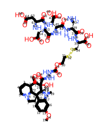 CC[C@]12C=CCN3CC[C@@]4(c5ccc(OC)cc5N(C)[C@H]4[C@@](O)(C(=O)NNC(=O)OCCSSC[C@H](NC(=O)[C@@H](CN)NC(=O)[C@@H](CC(=O)O)NC(=O)[C@H](CC(=O)O)NC(=O)[C@@H](N)CC(=O)O)C(=O)O)[C@@H]1O)C32